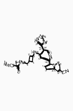 COC(=O)NCC1CC(Nc2cc(-c3ccc4cc(C#N)cnn34)ncc2-c2c[nH]nn2)C1